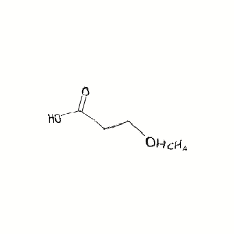 C.O=C(O)CCO